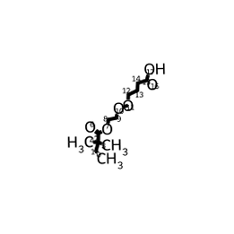 CCC(C)(C)C(=O)OCCOOCCCC(=O)O